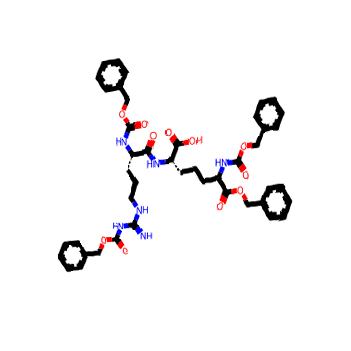 N=C(NCCC[C@H](NC(=O)OCc1ccccc1)C(=O)N[C@@H](CCCC(NC(=O)OCc1ccccc1)C(=O)OCc1ccccc1)C(=O)O)NC(=O)OCc1ccccc1